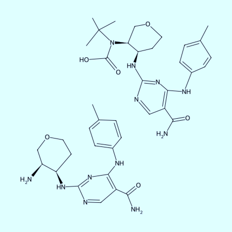 Cc1ccc(Nc2nc(N[C@@H]3CCOC[C@@H]3N(C(=O)O)C(C)(C)C)ncc2C(N)=O)cc1.Cc1ccc(Nc2nc(N[C@@H]3CCOC[C@@H]3N)ncc2C(N)=O)cc1